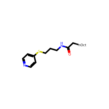 CCCCCCCCCC(=O)NCCCSc1ccncc1